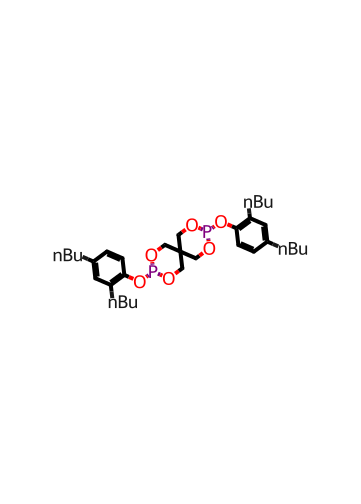 CCCCc1ccc(OP2OCC3(CO2)COP(Oc2ccc(CCCC)cc2CCCC)OC3)c(CCCC)c1